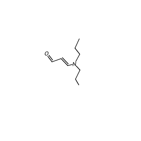 CCCN(C=CC=O)CCC